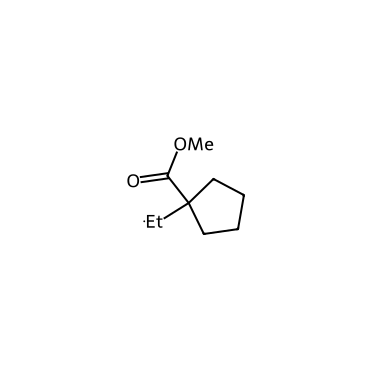 C[CH]C1(C(=O)OC)CCCC1